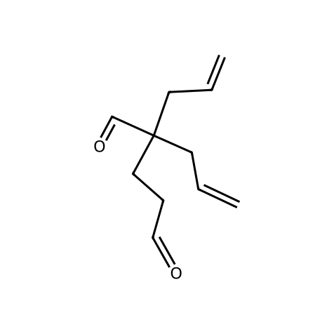 C=CCC(C=O)(CC=C)CCC=O